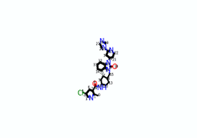 Cc1ncc(Cl)cc1C(=O)NC1CCC(Cn2c(=O)n(-c3ccnc(-n4ccnc4)c3)c3ccccc32)CC1